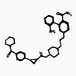 NC(=O)c1ccc(CCCN2CCC(CNC3CC3c3ccc(C(=O)N4CCCCC4)cc3)CC2)cc1-c1ccccc1N